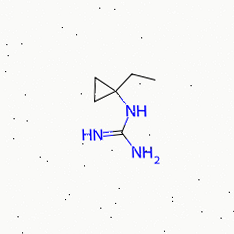 CCC1(NC(=N)N)CC1